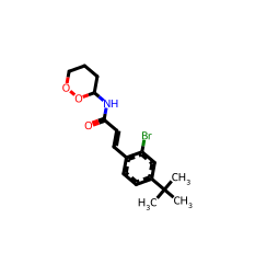 CC(C)(C)c1ccc(C=CC(=O)NC2CCCOO2)c(Br)c1